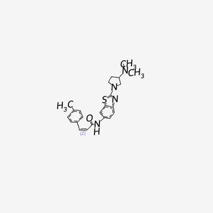 Cc1ccc(/C=C\C(=O)Nc2ccc3nc(N4CCC(N(C)C)C4)sc3c2)cc1